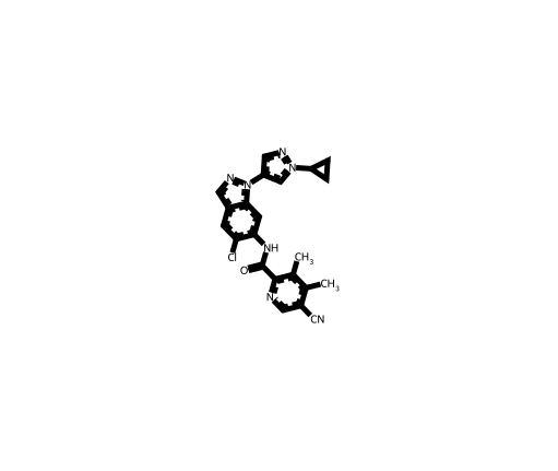 Cc1c(C#N)cnc(C(=O)Nc2cc3c(cnn3-c3cnn(C4CC4)c3)cc2Cl)c1C